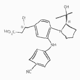 CC[C@@H](CC(=O)O)c1ccc(N2CCC[C@@H]2C(C)(C)O)c(Nc2ccc(C#N)cc2)c1